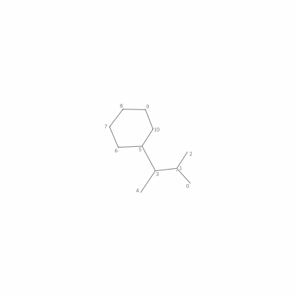 C[C](C)C(C)C1CCCCC1